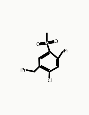 CC(C)Cc1cc(S(C)(=O)=O)c(C(C)C)cc1Cl